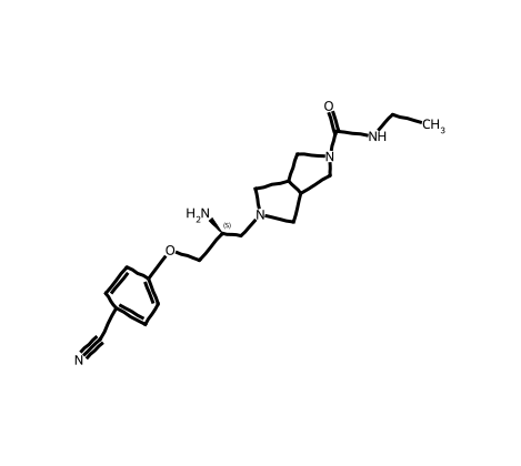 CCNC(=O)N1CC2CN(C[C@H](N)COc3ccc(C#N)cc3)CC2C1